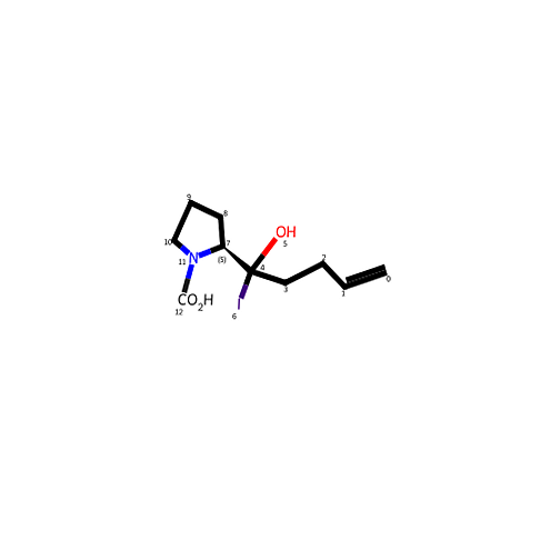 C=CCCC(O)(I)[C@@H]1CCCN1C(=O)O